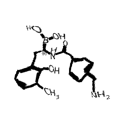 Cc1cccc(C[C@H](NC(=O)c2ccc(CN)cc2)B(O)O)c1O